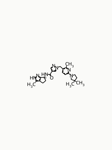 Cc1nc(N2CCC(C)(C)C2)ccc1Cn1cc(C(=O)N[C@@H]2CCc3c2n[nH]c3C)cn1